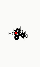 O=C(O)c1ccccc1-c1c2cc(I)c(=O)c(I)c-2oc2c(I)cc(I)cc12